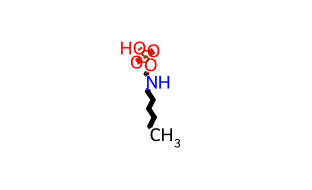 CCCCCCNCOS(=O)(=O)O